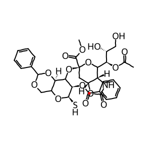 COC(=O)[C@@]1(OC2[C@@H]3OC(c4ccccc4)OCC3O[C@H](S)[C@@H]2OC(=O)c2ccccc2)C[C@H]2OC(=O)N[C@H]2C([C@H](OC(C)=O)[C@H](O)CO)O1